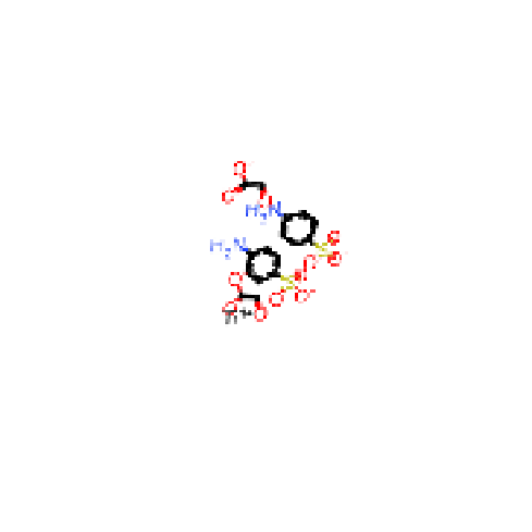 Nc1ccc(S(=O)(=O)[O-])cc1.Nc1ccc(S(=O)(=O)[O-])cc1.O=CC(=O)[O-].O=CC(=O)[O-].[Ti+4]